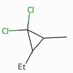 CC[C]1C(C)C1(Cl)Cl